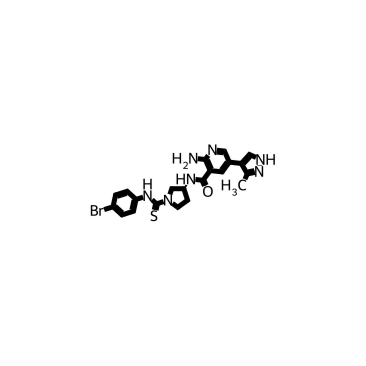 Cc1n[nH]cc1-c1cnc(N)c(C(=O)N[C@@H]2CCN(C(=S)Nc3ccc(Br)cc3)C2)c1